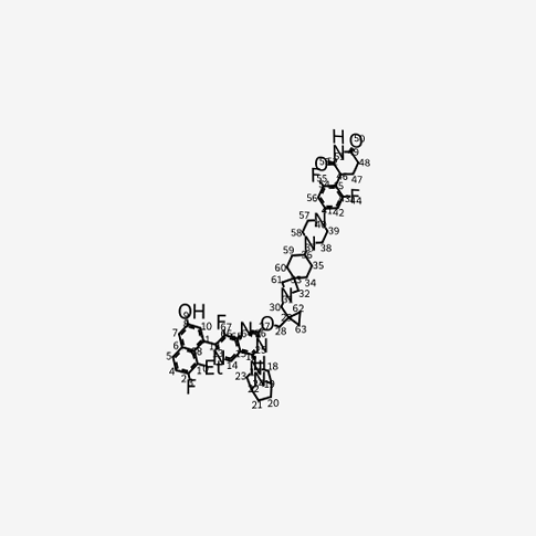 CCc1c(F)ccc2cc(O)cc(-c3ncc4c(N5CC6CCC(C5)N6)nc(OCC5(CN6CC7(CCC(N8CCN(c9cc(F)c(C%10CCC(=O)NC%10=O)c(F)c9)CC8)CC7)C6)CC5)nc4c3F)c12